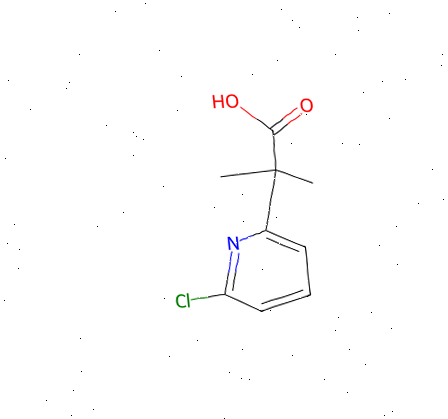 CC(C)(C(=O)O)c1cccc(Cl)n1